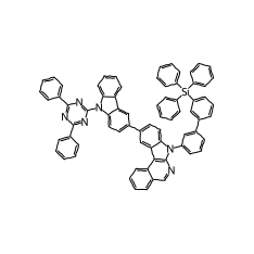 c1ccc(-c2nc(-c3ccccc3)nc(-n3c4ccccc4c4cc(-c5ccc6c(c5)c5c7ccccc7cnc5n6-c5cccc(-c6cccc([Si](c7ccccc7)(c7ccccc7)c7ccccc7)c6)c5)ccc43)n2)cc1